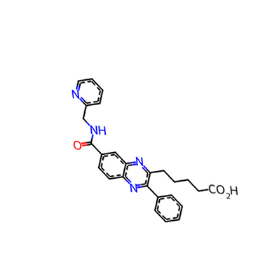 O=C(O)CCCCc1nc2cc(C(=O)NCc3ccccn3)ccc2nc1-c1ccccc1